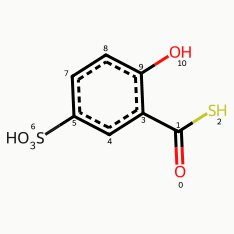 O=C(S)c1cc(S(=O)(=O)O)ccc1O